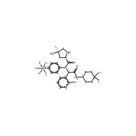 C[C@]1(O)CN[C@@H](C(=O)N(c2ccc(S(F)(F)(F)(F)F)cc2)C(C(=O)NC2CCC(F)(F)CC2)c2cccnc2F)C1